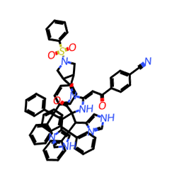 N#Cc1ccc(C(=O)C=C2NC(C(c3c[nH]cn3)C(c3ccccc3)(c3ccccc3)c3ccccc3)(C(c3c[nH]cn3)C(c3ccccc3)(c3ccccc3)c3ccccc3)C(=O)N2C2C3CN(S(=O)(=O)c4ccccc4)CC32)cc1